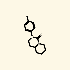 Cc1ccc(N2CCC3CCCCN3C2=O)cc1